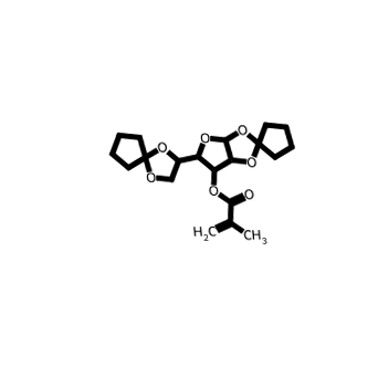 C=C(C)C(=O)OC1C(C2COC3(CCCC3)O2)OC2OC3(CCCC3)OC21